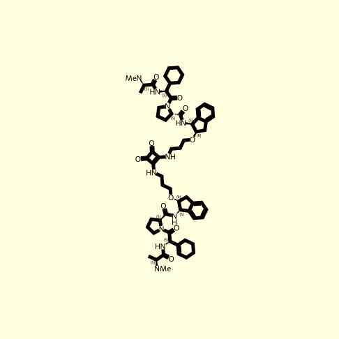 CN[C@@H](C)C(=O)N[C@H](C(=O)N1CCC[C@H]1C(=O)N[C@H]1c2ccccc2C[C@H]1OCCCNc1c(NCCCO[C@@H]2Cc3ccccc3[C@@H]2NC(=O)[C@@H]2CCCN2C(=O)[C@@H](NC(=O)[C@H](C)NC)C2CCCCC2)c(=O)c1=O)C1=CCCCC1